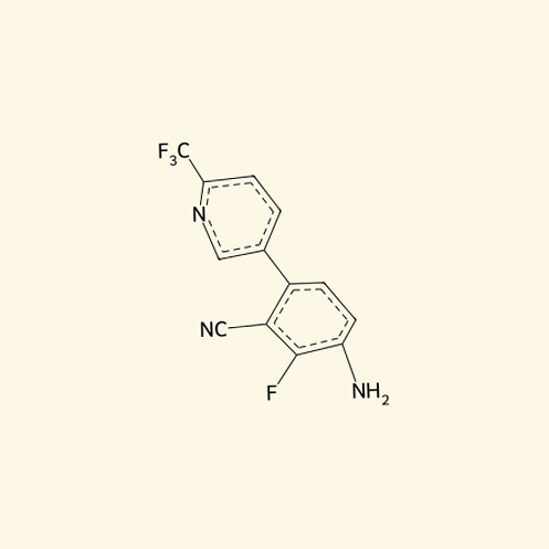 N#Cc1c(-c2ccc(C(F)(F)F)nc2)ccc(N)c1F